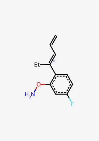 C=C/C=C(\CC)c1ccc(F)cc1ON